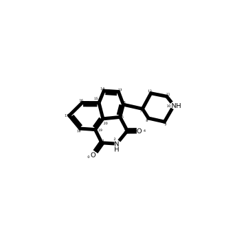 O=C1NC(=O)c2c(C3CCNCC3)ccc3cccc1c23